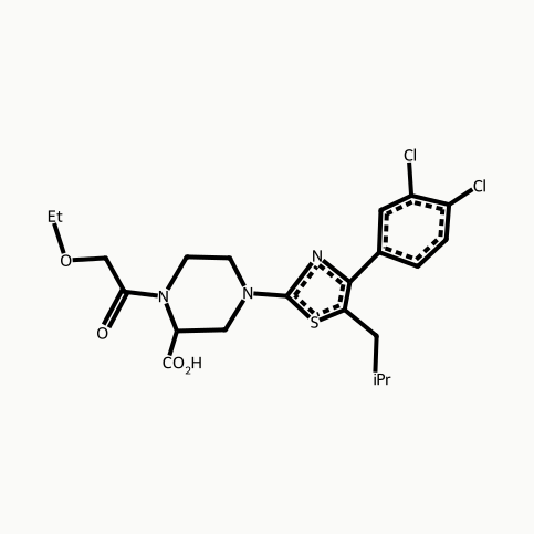 CCOCC(=O)N1CCN(c2nc(-c3ccc(Cl)c(Cl)c3)c(CC(C)C)s2)CC1C(=O)O